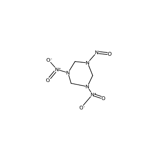 O=NN1CN([N+](=O)[O-])CN([N+](=O)[O-])C1